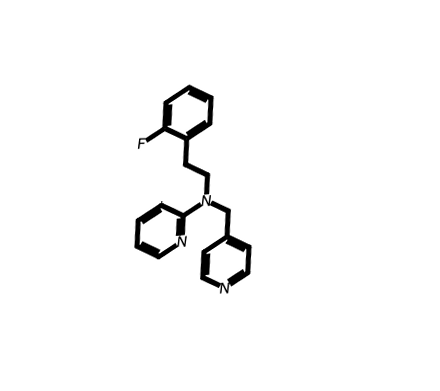 Fc1ccccc1CCN(Cc1ccncc1)c1[c]cccn1